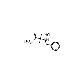 C=C(C(=O)OCC)C(C)(C)NCc1ccccc1.Cl